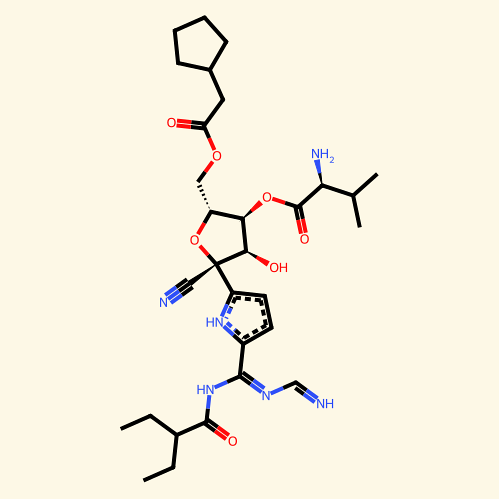 CCC(CC)C(=O)N/C(=N/C=N)c1ccc([C@]2(C#N)O[C@H](COC(=O)CC3CCCC3)[C@@H](OC(=O)[C@@H](N)C(C)C)[C@H]2O)[nH]1